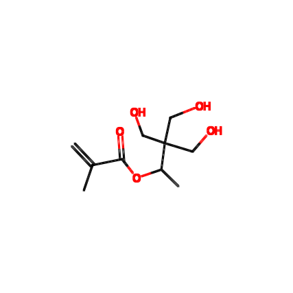 C=C(C)C(=O)OC(C)C(CO)(CO)CO